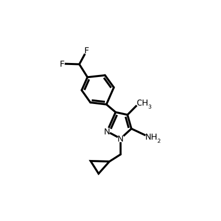 Cc1c(-c2ccc(C(F)F)cc2)nn(CC2CC2)c1N